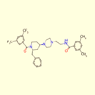 Cc1cc(C)cc(C(=O)NCCN2CCN([C@@H]3CCN(C(=O)c4cc(C(F)(F)F)cc(C(F)(F)F)c4)[C@H](Cc4ccccc4)C3)CC2)c1